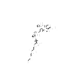 CC(C)(COP(=O)(O)OP(=O)(O)OCC1OC(n2cnc3c(N)ncnc32)C(O)C1OP(=O)(O)O)[C@@H](O)C(=O)NCCC(=O)NCCSC(=O)CF